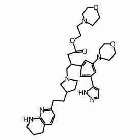 O=C(CC(CN1CCC(CCc2ccc3c(n2)NCCC3)C1)c1cc(-c2ccn[nH]2)cc(N2CCOCC2)c1)OCCN1CCOCC1